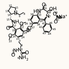 CCN(N=O)C(N)=O.CCN1CCC[C@H]1CNC(=O)c1c(OC)ccc(Br)c1OC.O=C1Nc2ccc(Cl)cc2C(c2ccccc2)=NC1O.O=[As][O-].[Na+]